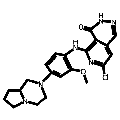 COc1cc(N2CCN3CCCC3C2)ccc1Nc1nc(Cl)cc2cn[nH]c(=O)c12